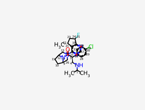 CC(C)NC[C@@H](C(=O)N1C2CCC1CN(c1ncnc3c1[C@H](C)CC3F)C2)c1ccc(Cl)cc1